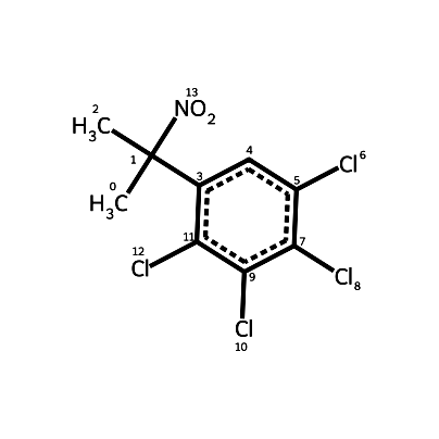 CC(C)(c1cc(Cl)c(Cl)c(Cl)c1Cl)[N+](=O)[O-]